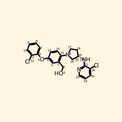 OCc1cc(Oc2ccccc2Cl)ccc1N1CC[C@H](Nc2ncccc2Cl)C1